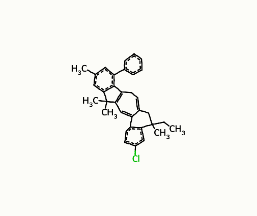 CCC1(C)CC2=CCC3=C(C=C2c2ccc(Cl)cc21)C(C)(C)c1cc(C)cc(-c2ccccc2)c13